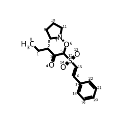 CCCC(=O)C(ON1CCCC1)S(=O)(=O)C=Cc1ccccc1